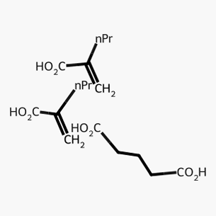 C=C(CCC)C(=O)O.C=C(CCC)C(=O)O.O=C(O)CCCC(=O)O